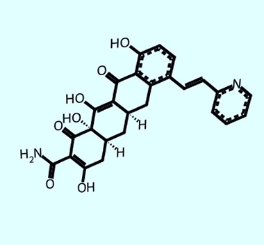 NC(=O)C1=C(O)C[C@@H]2C[C@@H]3Cc4c(/C=C/c5ccccn5)ccc(O)c4C(=O)C3=C(O)[C@]2(O)C1=O